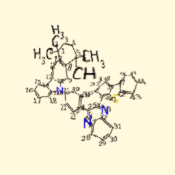 CC1(C)CCC(C)(C)c2cc3c(cc21)c1ccccc1n3-c1ccc(-c2nc3ccccc3nc2-c2cccc3c2sc2ccccc23)cc1